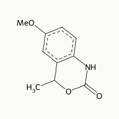 COc1ccc2c(c1)C(C)OC(=O)N2